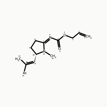 C=CCOC(=O)N=C1CC[C@@H](C=C(C)C(C)=O)N1C